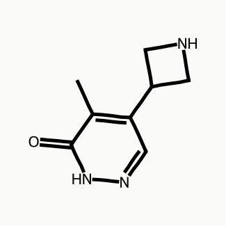 Cc1c(C2CNC2)cn[nH]c1=O